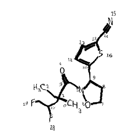 CC(C)(C(=O)N1OCC[C@@H]1c1ccc(C#N)s1)C(F)F